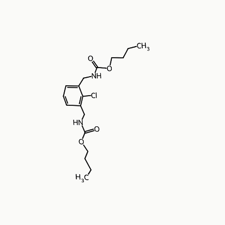 CCCCOC(=O)NCc1cccc(CNC(=O)OCCCC)c1Cl